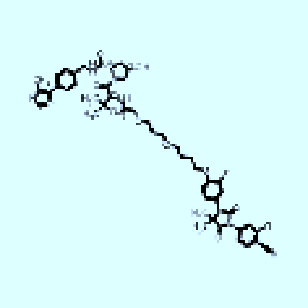 Cc1ncoc1-c1ccc(CNC(=O)[C@@H]2C[C@@H](O)CN2C(=O)[C@@H](NC(=O)COCCCOCCCCOc2ccc(N3C(=S)N(c4ccc(C#N)c(Cl)c4)C(=O)C3(C)C)cc2F)C(C)(C)C)cc1